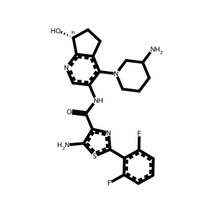 Nc1sc(-c2c(F)cccc2F)nc1C(=O)Nc1cnc2c(c1N1CCCC(N)C1)CC[C@H]2O